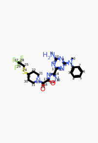 CN(c1ccccc1)c1nc(N)nc(-c2noc(C(=O)N3CCC(SCC(F)(F)F)CC3)n2)n1